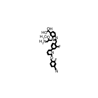 COC(CN)Cn1c(Cc2ccc(-c3cccc(OCc4ccc(C#N)cc4F)n3)cc2F)nc2ccc(C(O)O)cc21